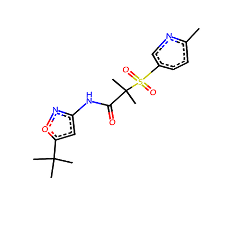 Cc1ccc(S(=O)(=O)C(C)(C)C(=O)Nc2cc(C(C)(C)C)on2)cn1